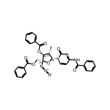 [N-]=[N+]=N[C@]1(COC(=O)c2ccccc2)O[C@@H](n2ccc(NC(=O)c3ccccc3)nc2=O)[C@@H](F)[C@@H]1OC(=O)c1ccccc1